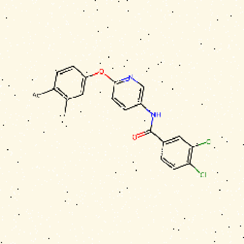 CC(=O)c1ccc(Oc2ccc(NC(=O)c3ccc(Cl)c(Cl)c3)cn2)cc1C